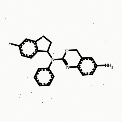 Nc1ccc2c(c1)COC(N(c1ccccc1)C1CCc3cc(F)ccc31)=N2